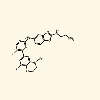 CC(C)N1CCOc2c(F)cc(-c3nc(Nc4ccc5oc(NCCN)nc5c4)ncc3F)cc21